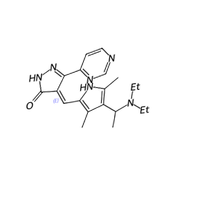 CCN(CC)C(C)c1c(C)[nH]c(/C=C2/C(=O)NN=C2c2ccncn2)c1C